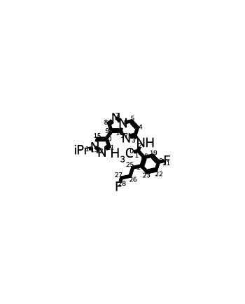 CC(Nc1ccn2ncc(-c3cnn(C(C)C)c3)c2n1)c1cc(F)ccc1CCCF